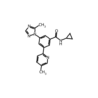 Cc1ccc(-c2cc(C(=O)NC3CC3)cc(-n3ncnc3C)c2)nc1